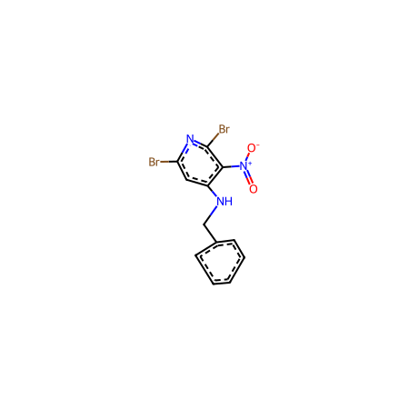 O=[N+]([O-])c1c(NCc2ccccc2)cc(Br)nc1Br